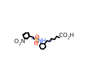 O=C(O)CCC/C=C/CC1CCCCC1NS(=O)(=O)/C=C/c1cccc([N+](=O)[O-])c1